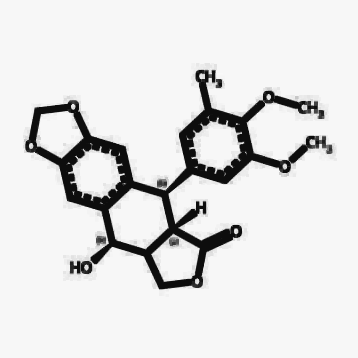 COc1cc([C@@H]2c3cc4c(cc3[C@H](O)C3COC(=O)[C@H]32)OCO4)cc(C)c1OC